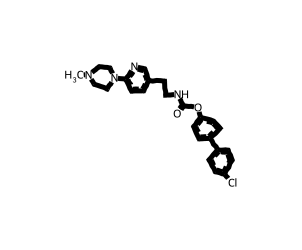 CN1CCN(c2ccc(CCNC(=O)Oc3ccc(-c4ccc(Cl)cc4)cc3)cn2)CC1